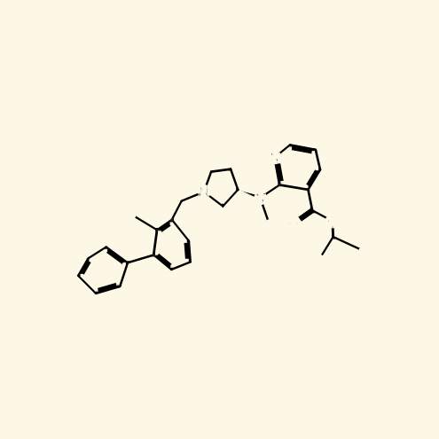 Cc1c(CN2CC[C@@H](N(C)c3ncccc3C(=O)OC(C)C)C2)cccc1-c1ccccc1